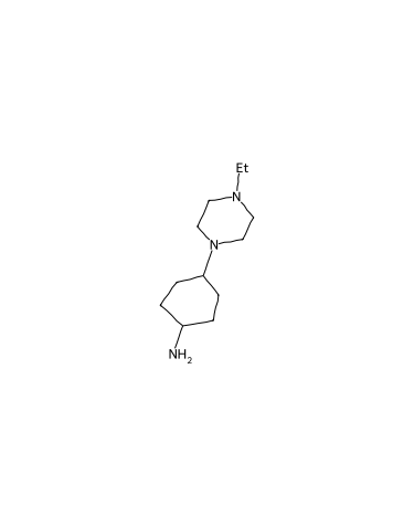 CCN1CCN(C2CCC(N)CC2)CC1